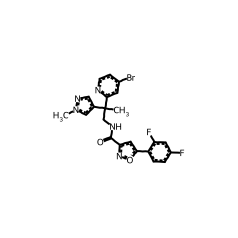 Cn1cc(C(C)(CNC(=O)c2cc(-c3ccc(F)cc3F)on2)c2cc(Br)ccn2)cn1